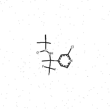 CC(C)(C)[S+]([O-])NC(C)(c1ccnc(Cl)c1)C(F)(F)F